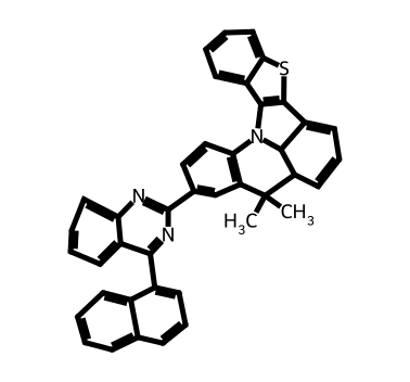 CC1(C)c2cc(-c3nc(-c4cccc5ccccc45)c4ccccc4n3)ccc2N2c3c(sc4ccccc34)C3=CC=CC1C32